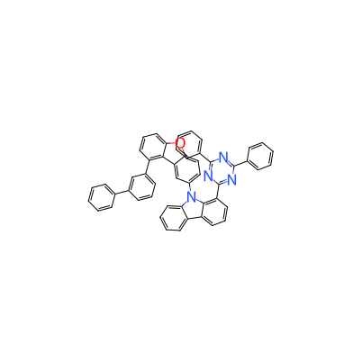 c1ccc(-c2cccc(-c3cccc4oc5ccc(-n6c7ccccc7c7cccc(-c8nc(-c9ccccc9)nc(-c9ccccc9)n8)c76)cc5c34)c2)cc1